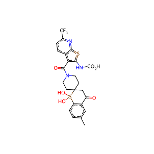 Cc1ccc2c(c1)C(=O)CC1(CCN(C(=O)c3c(NC(=O)O)sc4nc(C(F)(F)F)ccc34)CC1)S2(O)O